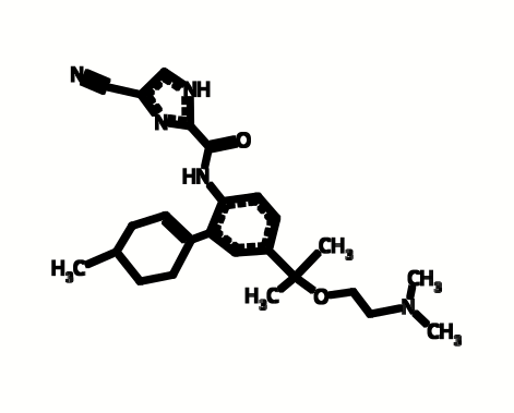 CC1CC=C(c2cc(C(C)(C)OCCN(C)C)ccc2NC(=O)c2nc(C#N)c[nH]2)CC1